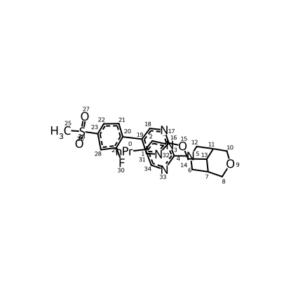 CCCc1cnc(N2CC3COCC(C2)C3COc2ncc(-c3ccc(S(C)(=O)=O)cc3F)cn2)nc1